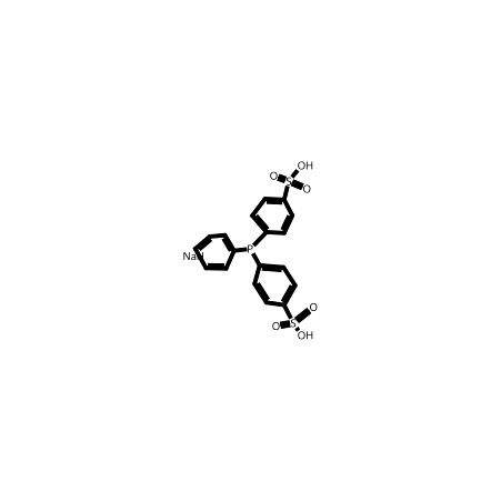 O=S(=O)(O)c1ccc(P(c2ccccc2)c2ccc(S(=O)(=O)O)cc2)cc1.[NaH]